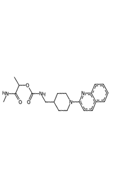 CNC(=O)C(C)OC(=O)NCC1CCN(c2ccc3ccccc3n2)CC1